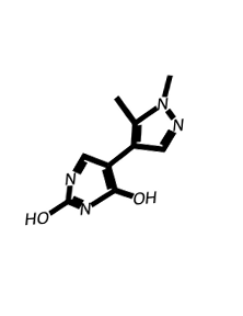 Cc1c(-c2cnc(O)nc2O)cnn1C